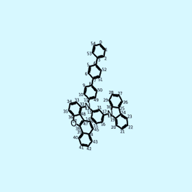 c1ccc(-c2ccc(-c3ccc(N(c4cccc(-n5c6ccccc6c6ccccc65)c4)c4cccc5oc6c7ccccc7ccc6c45)cc3)cc2)cc1